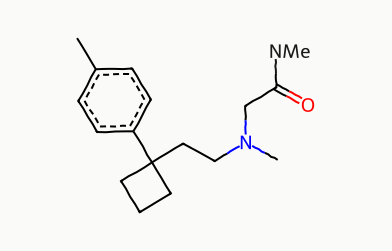 CNC(=O)CN(C)CCC1(c2ccc(C)cc2)CCC1